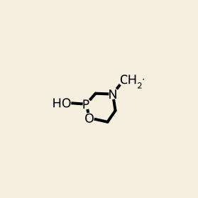 [CH2]N1CCOP(O)C1